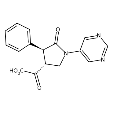 O=C(O)C(=O)[C@H]1CN(c2cncnc2)C(=O)[C@@H]1c1ccccc1